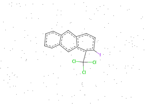 ClC(Cl)(Cl)c1c(I)ccc2cc3ccccc3cc12